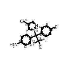 Nc1ccc(C(c2ccc(Cl)cc2)(n2cc(Cl)cn2)C(F)(F)F)cc1